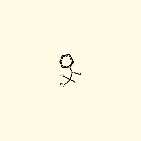 O=C(O)C(O)(O)N(O)c1ccccc1